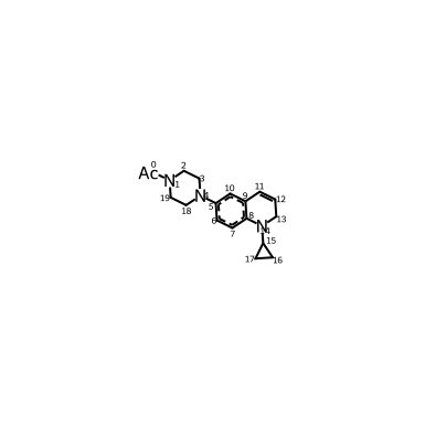 CC(=O)N1CCN(c2ccc3c(c2)C=CCN3C2CC2)CC1